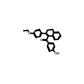 CCOc1ccc(C2=C(C(=O)c3ccc(O)cc3)c3ccccc3CC2)cc1